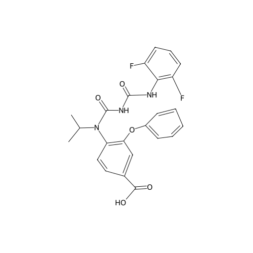 CC(C)N(C(=O)NC(=O)Nc1c(F)cccc1F)c1ccc(C(=O)O)cc1Oc1ccccc1